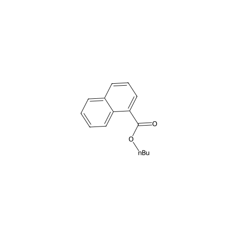 CCCCOC(=O)c1cccc2ccccc12